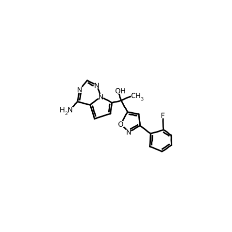 CC(O)(c1cc(-c2ccccc2F)no1)c1ccc2c(N)ncnn12